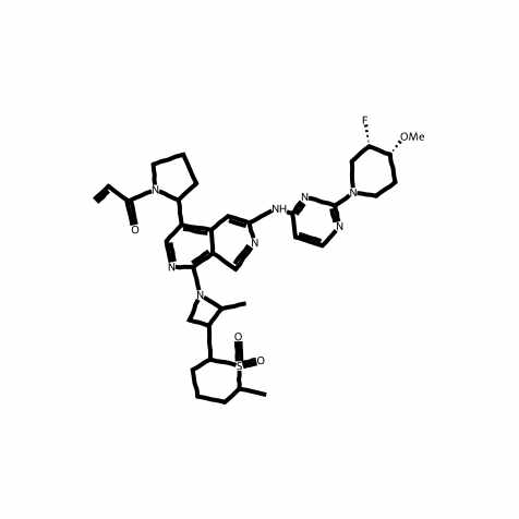 C=CC(=O)N1CCCC1c1cnc(N2CC(C3CCCC(C)S3(=O)=O)C2C)c2cnc(Nc3ccnc(N4CC[C@@H](OC)[C@@H](F)C4)n3)cc12